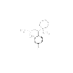 CN(C)CC(c1ccc(F)cc1)C1(C)CCCCC1